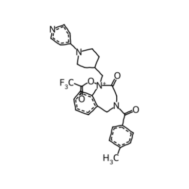 Cc1ccc(C(=O)N2CC(=O)[N+](CC3CCN(c4ccncc4)CC3)(OC(=O)C(F)(F)F)c3ccccc3C2)cc1